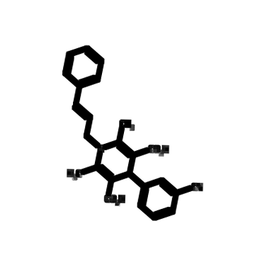 CC1=C(C(=O)O)C(c2cccc(C#N)c2)C(C(=O)O)=C(C)N1CC=Cc1ccccc1